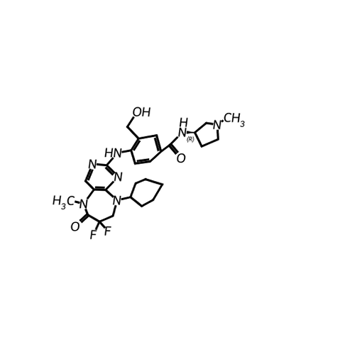 CN1CC[C@@H](NC(=O)c2ccc(Nc3ncc4c(n3)N(C3CCCCC3)CC(F)(F)C(=O)N4C)c(CO)c2)C1